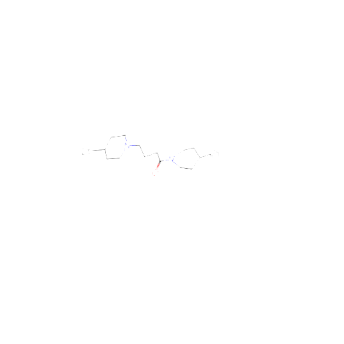 CCC1CCN(CCCC(=O)N2CCC(C(C)C)CC2)CC1